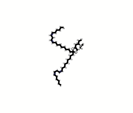 CCCCC/C=C\C/C=C\CCCCCCCCC1(CCCCCCCC/C=C\C/C=C\CCCCC)OCC(CC(CC)N(C)C)O1